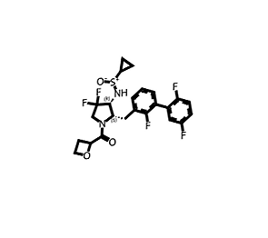 O=C(C1CCO1)N1CC(F)(F)[C@H](N[S+]([O-])C2CC2)[C@@H]1Cc1cccc(-c2cc(F)ccc2F)c1F